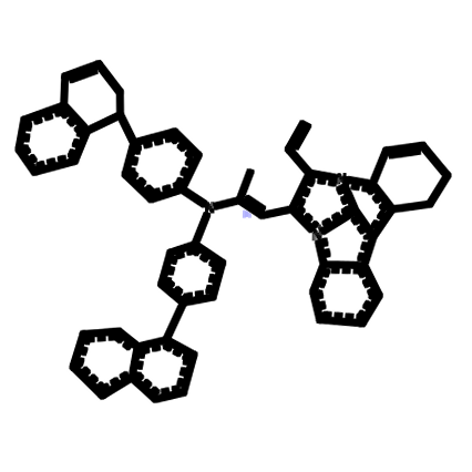 C=Cc1c(/C=C(\C)N(c2ccc(-c3cccc4ccccc34)cc2)c2ccc(C3CC=Cc4ccccc43)cc2)n2c3ccccc3c3c4c(n1c32)C=CCC4